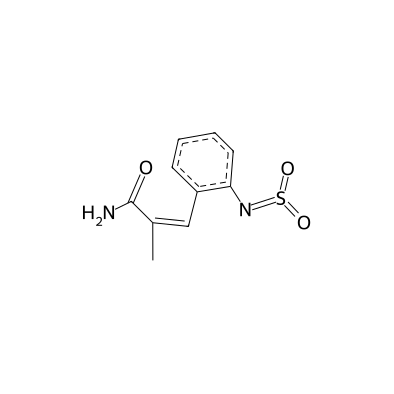 CC(=Cc1ccccc1N=S(=O)=O)C(N)=O